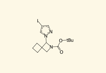 CC(C)(C)OC(=O)N1CC2(CCC2)C1n1cc(I)cn1